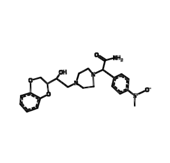 C[S+]([O-])c1ccc(C(C(N)=O)N2CCN(CC(O)C3COc4ccccc4O3)CC2)cc1